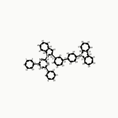 c1ccc(-c2nc(-c3ccccc3)nc(-n3c(-c4cccc(-c5ccc(-n6c7ccccc7c7ccccc76)cc5)c4)cc4ccccc43)n2)cc1